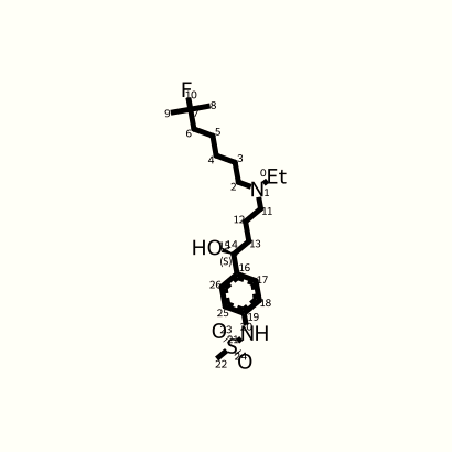 CCN(CCCCCC(C)(C)F)CCC[C@H](O)c1ccc(NS(C)(=O)=O)cc1